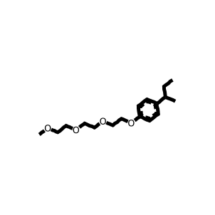 CCC(C)c1ccc(OCCOCCOCCOC)cc1